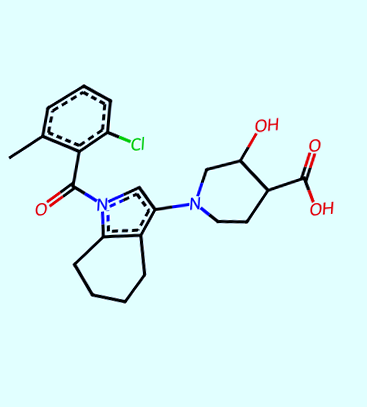 Cc1cccc(Cl)c1C(=O)n1cc(N2CCC(C(=O)O)C(O)C2)c2c1CCCC2